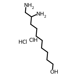 Cl.Cl.NCC(N)CCCCCCCCO